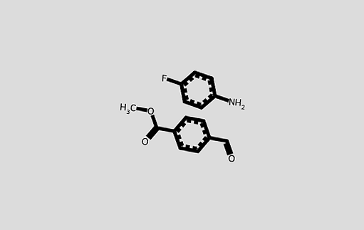 COC(=O)c1ccc(C=O)cc1.Nc1ccc(F)cc1